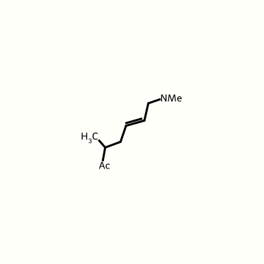 CNC/C=C/CC(C)C(C)=O